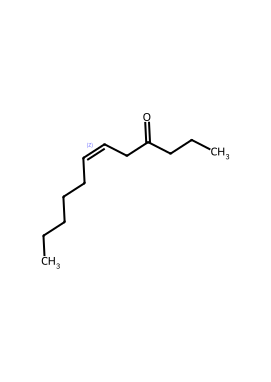 CCCCC/C=C\CC(=O)CCC